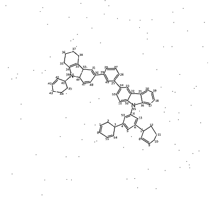 C1=CCC(c2cc(C3C=CCCC3)cc(-n3c4ccccc4c4cc(-c5cccc(C6=CC7C8=C(CCCC8)N(C8C=CCCC8)C7C=C6)c5)ccc43)c2)C=C1